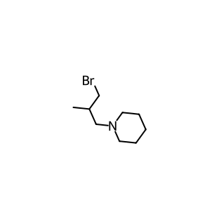 CC(CBr)CN1CCCCC1